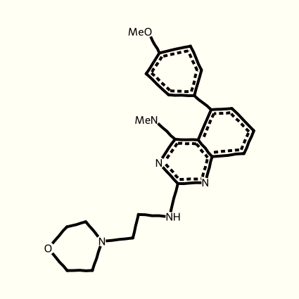 CNc1nc(NCCN2CCOCC2)nc2cccc(-c3ccc(OC)cc3)c12